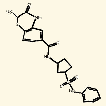 CC1Sc2ccc(C(=O)NC3CCC(S(=O)(=O)Nc4ccccc4)C3)cc2NC1=O